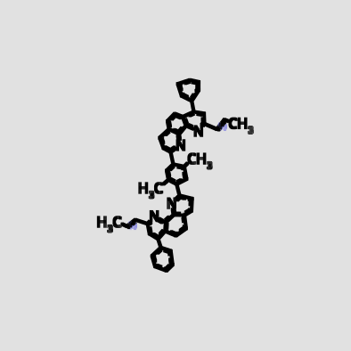 C/C=C/c1cc(-c2ccccc2)c2ccc3ccc(-c4cc(C)c(-c5ccc6ccc7c(-c8ccccc8)cc(/C=C/C)nc7c6n5)cc4C)nc3c2n1